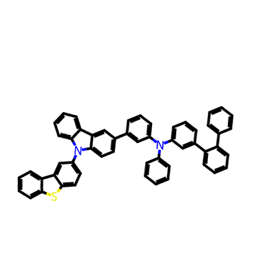 c1ccc(-c2ccccc2-c2cccc(N(c3ccccc3)c3cccc(-c4ccc5c(c4)c4ccccc4n5-c4ccc5sc6ccccc6c5c4)c3)c2)cc1